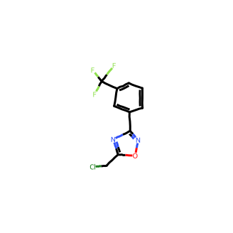 FC(F)(F)c1cccc(-c2noc(CCl)n2)c1